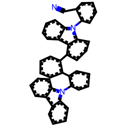 N#Cc1ccccc1-n1c2ccccc2c2c(-c3ccccc3-c3ccccc3-n3c4ccccc4c4ccccc43)cccc21